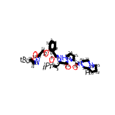 CC(C)C[C@@H](NC(=O)c1ccccc1OCc1ncc(C(C)(C)C)o1)C(=O)N1CCC[C@@H]1C(=O)N1CCN2CCC[C@@H]2C1